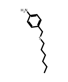 CCCCCCSCc1ccc(N)cc1